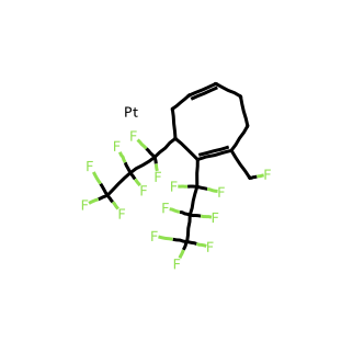 FCC1=C(C(F)(F)C(F)(F)C(F)(F)F)C(C(F)(F)C(F)(F)C(F)(F)F)CC=CCC1.[Pt]